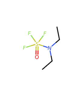 CCN(CC)S(=O)(F)(F)F